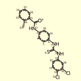 O=C(Nc1ccc(NC(=S)Nc2ccc(Cl)c(Cl)c2)cc1)c1ccccc1F